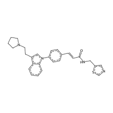 O=C(C=Cc1ccc(-n2cc(CCN3CCCC3)c3ccccc32)cc1)NCc1cncs1